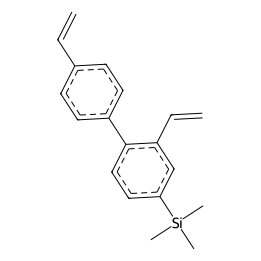 C=Cc1ccc(-c2ccc([Si](C)(C)C)cc2C=C)cc1